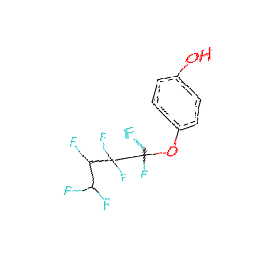 Oc1ccc(OC(F)(F)C(F)(F)C(F)C(F)F)cc1